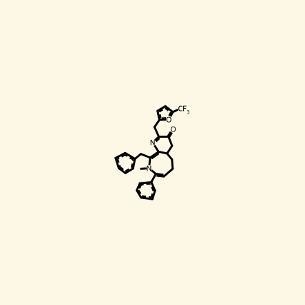 CN1/C(c2ccccc2)=C\CCC2CC(=O)C(Cc3ccc(C(F)(F)F)o3)=N/C2=C/1Cc1ccccc1